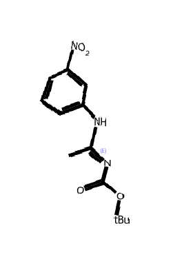 C/C(=N\C(=O)OC(C)(C)C)Nc1cccc([N+](=O)[O-])c1